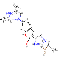 Cc1cn2cc(-c3cc4ccc(N5C[C@@H](C)N[C@@H](C)C5)cc4oc3=O)nc2s1